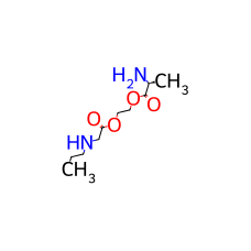 CCCNCC(=O)OCCOC(=O)[C@H](C)N